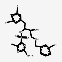 CCc1cccc(CNCC(O)C(Cc2cc(F)cc(F)c2)NS(=O)(=O)c2sc(NC(C)=O)nc2C)c1